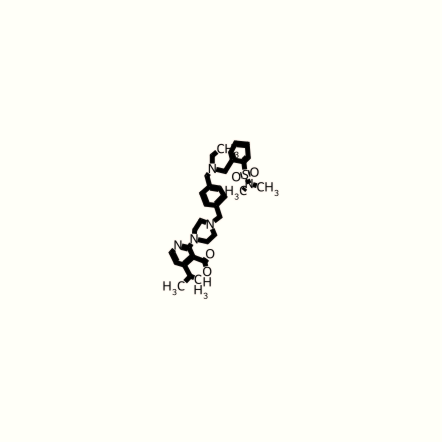 CCN(Cc1ccc(CN2CCN(c3nccc(C(C)C)c3C(=O)O)CC2)cc1)Cc1ccccc1S(=O)(=O)N(C)C